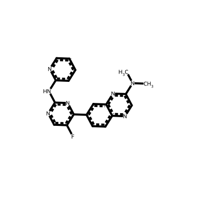 CN(C)c1cnc2ccc(-c3nc(Nc4cc[c]cn4)ncc3F)cc2n1